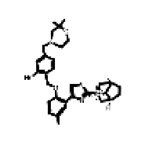 Cc1ccc(OCc2ccc(CN3CCOC(C)(C)C3)cc2C#N)c(-c2csc(N3C[C@H]4CC[C@@H](C3)[C@H]4C(=O)O)n2)c1